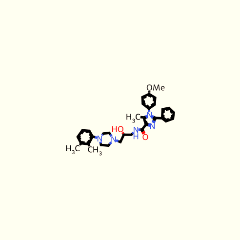 COc1ccc(-n2c(-c3ccccc3)nc(C(=O)NCC(O)CN3CCN(c4cccc(C)c4C)CC3)c2C)cc1